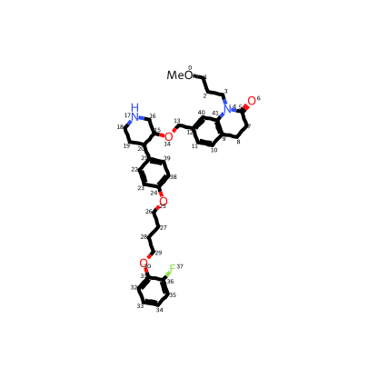 COCCCN1C(=O)CCc2ccc(COC3CNCCC3c3ccc(OCCCCOc4ccccc4F)cc3)cc21